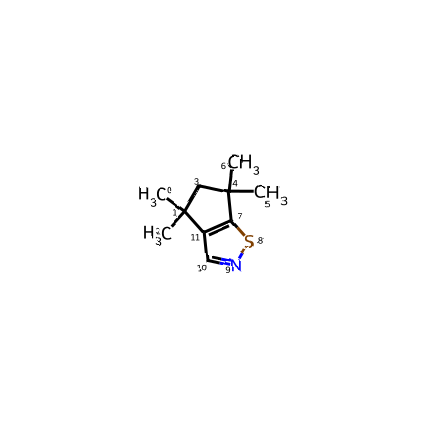 CC1(C)CC(C)(C)c2sncc21